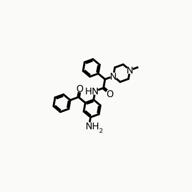 CN1CCN(C(C(=O)Nc2ccc(N)cc2C(=O)c2ccccc2)c2ccccc2)CC1